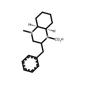 CN1CC(Cc2ccccc2)N(C(=O)O)[C@@H]2CCCC[C@@H]21